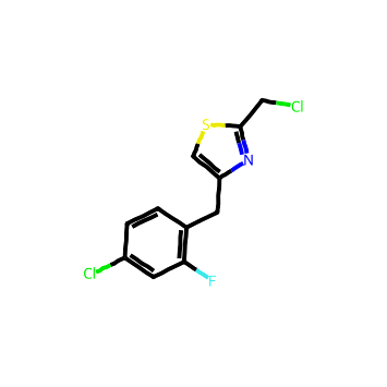 Fc1cc(Cl)ccc1Cc1csc(CCl)n1